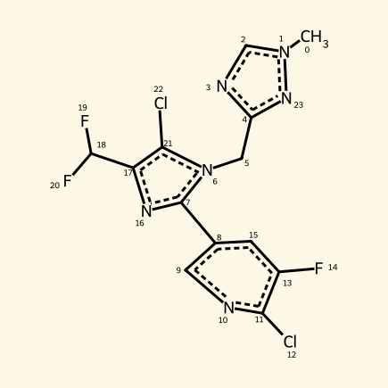 Cn1cnc(Cn2c(-c3cnc(Cl)c(F)c3)nc(C(F)F)c2Cl)n1